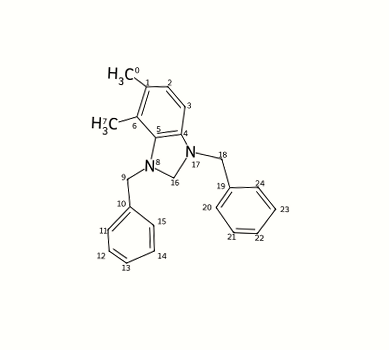 Cc1ccc2c(c1C)N(Cc1ccccc1)CN2Cc1ccccc1